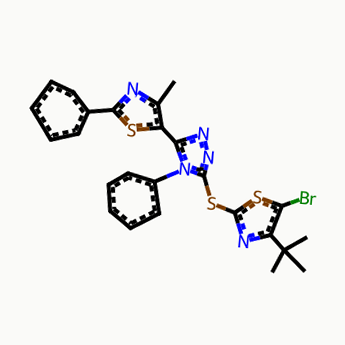 Cc1nc(-c2ccccc2)sc1-c1nnc(Sc2nc(C(C)(C)C)c(Br)s2)n1-c1ccccc1